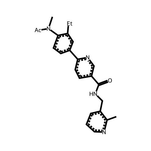 CCc1cc(-c2ccc(C(=O)NCc3cccnc3C)cn2)ccc1N(C)C(C)=O